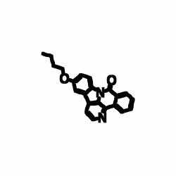 CCCCOc1ccc2c(c1)c1ccnc3c4ccccc4c(=O)n2c13